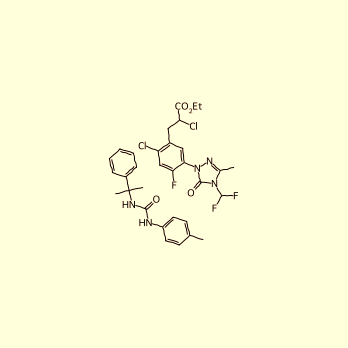 CCOC(=O)C(Cl)Cc1cc(-n2nc(C)n(C(F)F)c2=O)c(F)cc1Cl.Cc1ccc(NC(=O)NC(C)(C)c2ccccc2)cc1